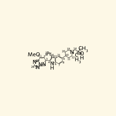 COc1cc(-c2[nH]c3ccc(C4CCN(CC(C)(C)O)CC4)cc3c2C(C)C)nn2ncnc12